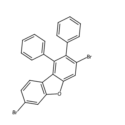 Brc1ccc2c(c1)oc1cc(Br)c(-c3ccccc3)c(-c3ccccc3)c12